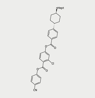 CCCCCCC[C@H]1CC[C@H](c2ccc(C(=O)Oc3ccc(C(=O)Oc4ccc(C#N)cc4)c(Cl)c3)cc2)CC1